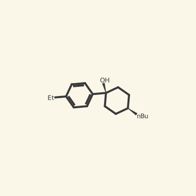 CCCC[C@H]1CC[C@](O)(c2ccc(CC)cc2)CC1